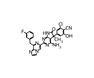 C[C@]1(c2cc(O)c(C#N)c(Cl)c2)C(=O)Nc2nc(-c3cn4ccnc4c(Cc4cccc(F)c4)n3)nc(N)c21